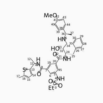 CCS(=O)(=O)Nc1cc(C(=O)NC(C)c2ccc(C)s2)cc(C(=O)N[C@@H](Cc2ccccc2)[C@H](O)CN[C@H](C)c2ccc(OC)cc2)c1